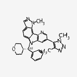 Cc1nnn(C)c1-c1cnc2c3c4c(ccc3n([C@H](c3ccccc3)C3CCOCC3)c2c1)cnn4C